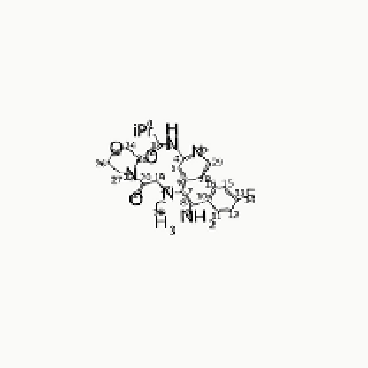 CC(C)C(=O)Nc1cc(/C(=C(/N)c2ccc(F)cc2)N(C)CC(=O)N2CCOCC2)ccn1